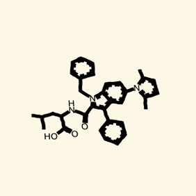 Cc1ccc(C)n1-c1ccc2c(c1)c(-c1ccccc1)c(C(=O)NC(CC(C)C)C(=O)O)n2Cc1ccccc1